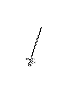 CCCCCC/C=C/CCCCCCCCCC[PH](=O)C(O)C(O)CO